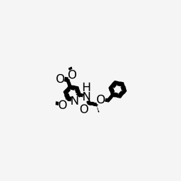 COC(=O)c1cc(NC(=O)[C@@H](C)OCc2ccccc2)nc(OC)c1